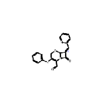 O=CC1=C(Sc2ccccc2)CSC2/C(=C\c3ccccn3)C(=O)N12